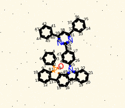 O=P1(c2ccccc2)c2ccccc2-c2ccc3c4ccccc4n(-c4ccc(-c5nc(-c6ccccc6)cc(-c6ccccc6)n5)cc4)c3c21